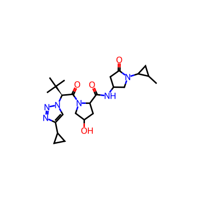 CC1CC1N1CC(NC(=O)C2CC(O)CN2C(=O)[C@@H](n2cc(C3CC3)nn2)C(C)(C)C)CC1=O